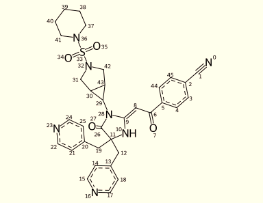 N#Cc1ccc(C(=O)C=C2NC(Cc3ccncc3)(Cc3ccncc3)C(=O)N2C2C3CN(S(=O)(=O)N4CCCCC4)CC32)cc1